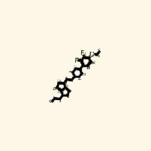 CCCC1CCC2C(CCC3CCC(c4ccc(OCC)c(F)c4F)CC3)=CCC12